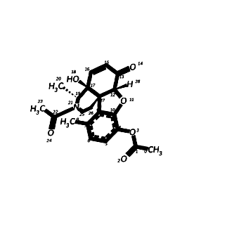 CC(=O)Oc1ccc(C)c2c1O[C@H]1C(=O)C=C[C@@]3(O)[C@@H](C)N(C(C)=O)CC[C@]213